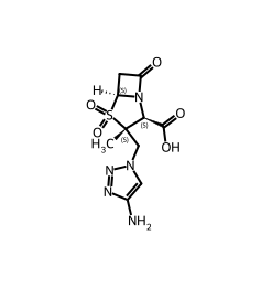 C[C@]1(Cn2cc(N)nn2)[C@H](C(=O)O)N2C(=O)C[C@@H]2S1(=O)=O